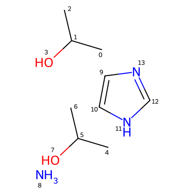 CC(C)O.CC(C)O.N.c1c[nH]cn1